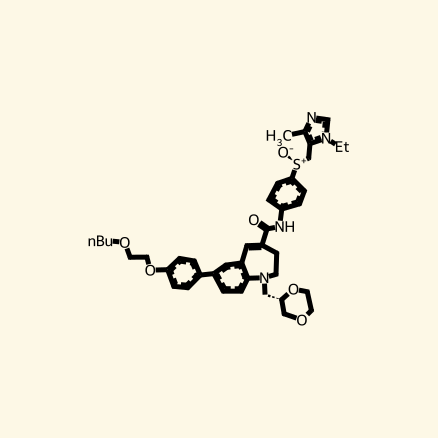 CCCCOCCOc1ccc(-c2ccc3c(c2)C=C(C(=O)Nc2ccc([S@+]([O-])Cc4c(C)ncn4CC)cc2)CCN3C[C@H]2COCCO2)cc1